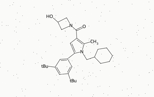 Cc1c(C(=O)N2CC(O)C2)cc(-c2cc(C(C)(C)C)cc(C(C)(C)C)c2)n1CC1CCCCC1